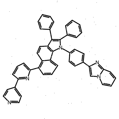 c1ccc(-c2c(-c3ccccc3)n(-c3ccc(-c4cn5ccccc5n4)cc3)c3c2ccc2c(-c4cccc(-c5ccncc5)n4)cccc23)cc1